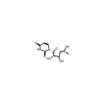 C[C@H](O)[C@H]1O[C@@H](n2ccc(=O)[nH]c2=O)[C@H](O)[C@@H]1O